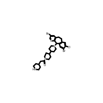 O=C(CC1CCNCC1)N1CCC(C2CCN(C3c4cc(Br)c(Cl)cc4CCc4cc(Br)cnc43)CC2)CC1